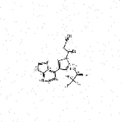 C#CCC(CC)n1cc(-c2ncnc3[nH]ccc23)cn1.O=C(O)C(F)(F)F